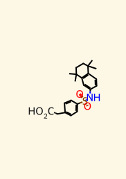 CC1(C)CCC(C)(C)c2cc(NS(=O)(=O)c3ccc(CC(=O)O)cc3)ccc21